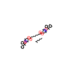 CC(CON1C(C)(C)CC(OC(=O)CCCCCCCCC(=O)OC2CC(C)(C)N(OCC(C)(c3ccccc3)c3ccccc3)C(C)(C)C2)CC1(C)C)(c1ccccc1)c1ccccc1.CCCCCC(C)C